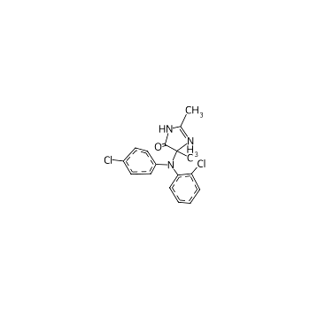 CC1=NC(C)(N(c2ccc(Cl)cc2)c2ccccc2Cl)C(=O)N1